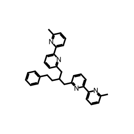 Cc1cccc(-c2cccc(CC(CCc3ccccc3)Cc3cccc(-c4cccc(C)n4)n3)n2)n1